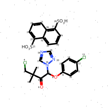 CC(C)(CCl)C(=O)C(Oc1ccc(Cl)cc1)n1cncn1.O=S(=O)(O)c1cccc2c(S(=O)(=O)O)cccc12